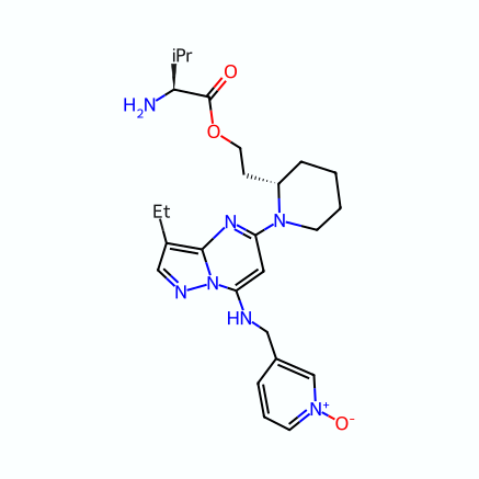 CCc1cnn2c(NCc3ccc[n+]([O-])c3)cc(N3CCCC[C@H]3CCOC(=O)[C@@H](N)C(C)C)nc12